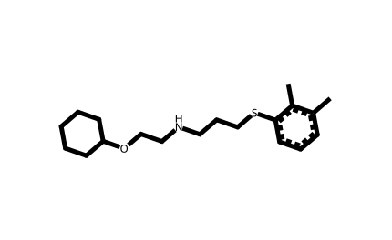 Cc1cccc(SCCCNCCOC2CCCCC2)c1C